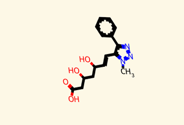 Cn1nnc(-c2ccccc2)c1C=CC(O)CC(O)CC(=O)O